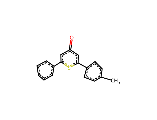 Cc1ccc(-c2cc(=O)cc(-c3ccccc3)s2)cc1